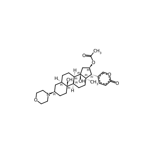 CC(=O)O[C@@H]1C[C@@]2(O)[C@@H]3CC[C@@H]4C[C@H](N5CCOCC5)CC[C@@]4(C)[C@@H]3CC[C@]2(C)[C@H]1c1ccc(=O)oc1